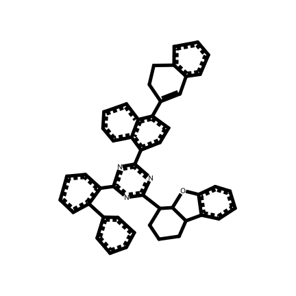 C1=C(c2ccc(-c3nc(-c4ccccc4-c4ccccc4)nc(C4CCCC5c6ccccc6OC45)n3)c3ccccc23)CCc2ccccc21